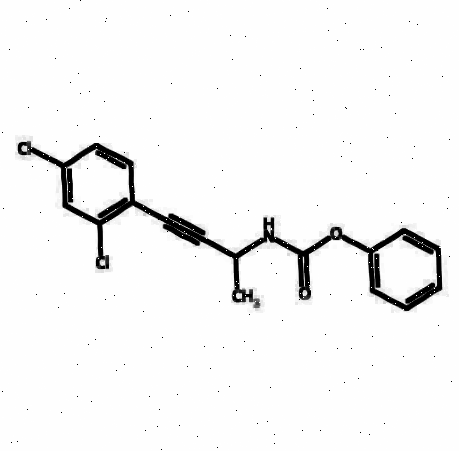 CC(C#Cc1ccc(Cl)cc1Cl)NC(=O)Oc1ccccc1